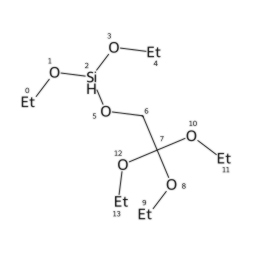 CCO[SiH](OCC)OCC(OCC)(OCC)OCC